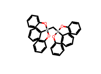 c1ccc(O[Si](C[Si](Oc2ccccc2)(Oc2ccccc2)c2ccccc2)(Oc2ccccc2)c2ccccc2)cc1